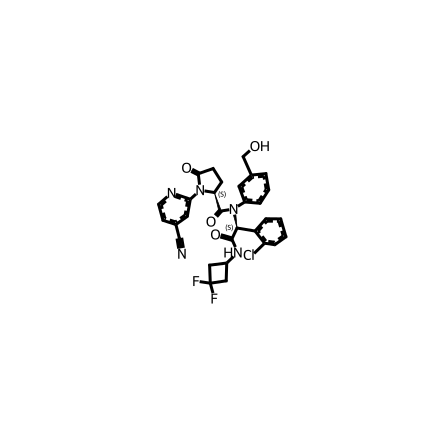 N#Cc1ccnc(N2C(=O)CC[C@H]2C(=O)N(c2cccc(CO)c2)[C@H](C(=O)NC2CC(F)(F)C2)c2ccccc2Cl)c1